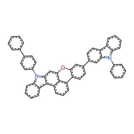 c1ccc(-c2ccc(-n3c4ccccc4c4c5cccc6c5c(cc43)Oc3cc(-c4ccc5c7ccccc7n(-c7ccccc7)c5c4)ccc3-6)cc2)cc1